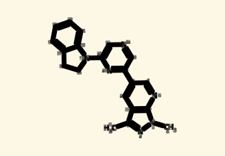 Cc1nn(C)c2ncc(-c3cncc(N4CCc5ccccc54)n3)cc12